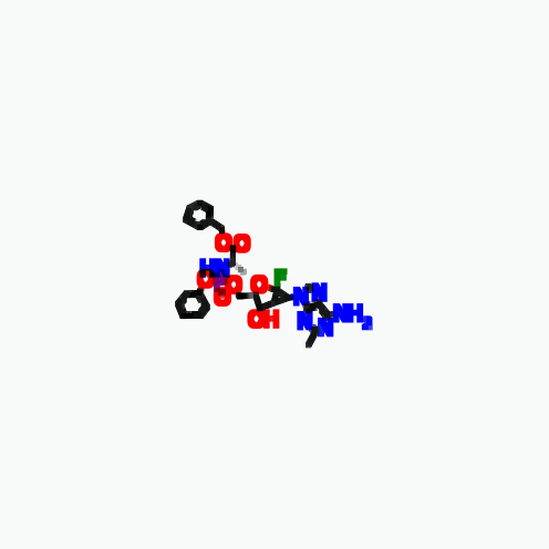 Cc1nc(N)c2ncn([C@H]3C4[C@@H](O)[C@@H](COP(=O)(N[C@@H](C)C(=O)OCc5ccccc5)Oc5ccccc5)OC43F)c2n1